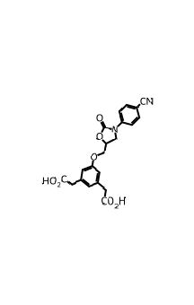 N#Cc1ccc(N2CC(COc3cc(CC(=O)O)cc(CC(=O)O)c3)OC2=O)cc1